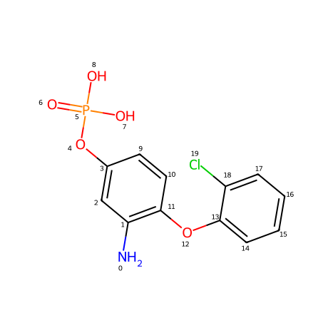 Nc1cc(OP(=O)(O)O)ccc1Oc1ccccc1Cl